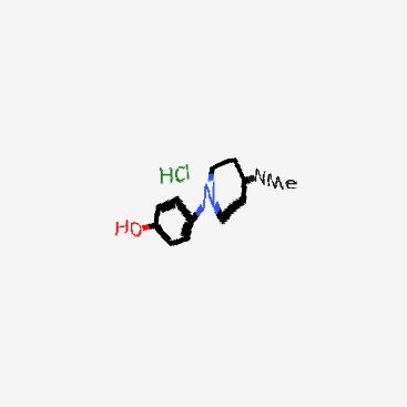 CNC1CCN(c2ccc(O)cc2)CC1.Cl